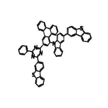 c1ccc(-c2nc(-c3ccc4c(c3)sc3ccccc34)nc(-c3cc(-n4c5ccccc5c5cc(-c6ccc7sc8ccccc8c7c6)ccc54)c4c5ccccc5c5ccccc5c4c3)n2)cc1